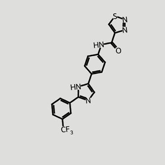 O=C(Nc1ccc(-c2cnc(-c3cccc(C(F)(F)F)c3)[nH]2)cc1)c1csnn1